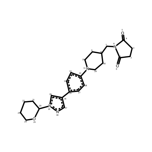 O=C1CCC(=O)N1CC1CCN(c2ccc(-c3cnn(C4CCCCO4)c3)cc2)CC1